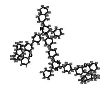 C1=CCC2Oc3cc(-c4ccc(-c5nc(-c6ccc7ccccc7c6)cc(-c6ccccc6-c6cccc(-c7ccc(-c8cc(-c9ccccc9)nc(-c9ccc(-c%10ccc%11c(c%10)Oc%10ccccc%10C%11%10c%11ccccc%11-c%11ccccc%11%10)cc9)n8)cc7)c6)n5)cc4)ccc3C3(C2=C1)c1ccccc1-c1ccccc13